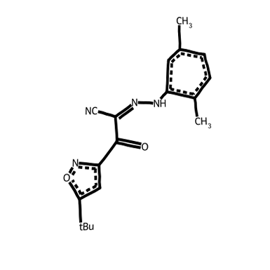 Cc1ccc(C)c(NN=C(C#N)C(=O)c2cc(C(C)(C)C)on2)c1